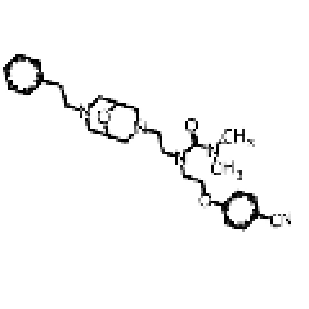 CN(C)C(=O)N(CCOc1ccc(C#N)cc1)CCN1CC2CN(CCc3ccccc3)CC(C1)O2